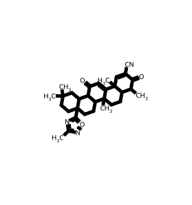 Cc1noc(C23CCC4C(C(=O)C=C5C6(C)C=C(C#N)C(=O)C(C)C6CCC54C)C2CC(C)(C)CC3)n1